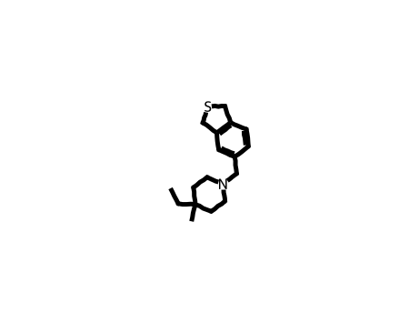 CCC1(C)CCN(Cc2ccc3c(c2)CSC3)CC1